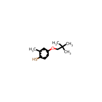 Cc1cc(OCC(C)(C)C)ccc1S